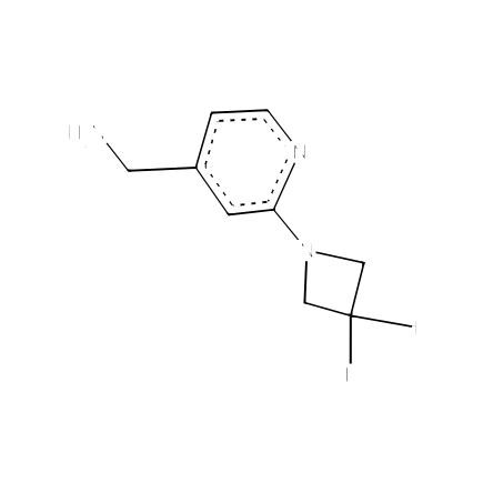 NCc1ccnc(N2CC(F)(F)C2)c1